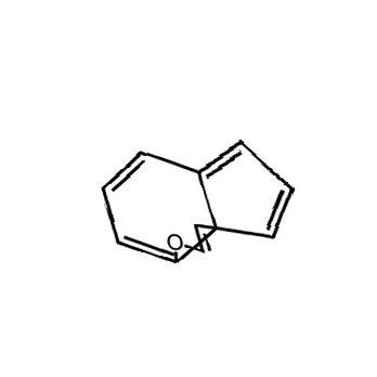 C1=CC2=CC=CC23C=COC3=C1